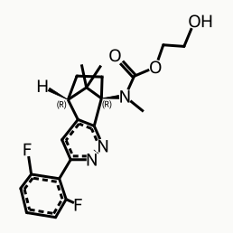 CN(C(=O)OCCO)[C@@]12CC[C@@H](c3cc(-c4c(F)cccc4F)nnc31)C2(C)C